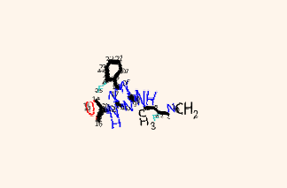 C=N/C=C(F)\C=C(/C)Nc1nc(NC2COC2)nc(-c2ccccc2F)n1